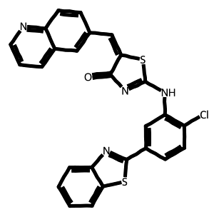 O=C1N=C(Nc2cc(-c3nc4ccccc4s3)ccc2Cl)SC1=Cc1ccc2ncccc2c1